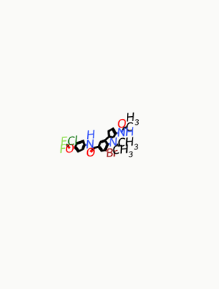 CC(=O)NC1=CCC2c3cc(C(=O)Nc4ccc(OC(F)(F)Cl)cc4)cc(Br)c3N(C(C)C)C12